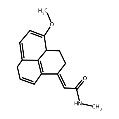 CNC(=O)C=C1CCC2C(OC)=CC=C3CC=CC1=C32